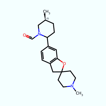 C[C@H]1CCC(c2ccc3c(c2)OC2(CCN(C)CC2)C3)N(C=O)C1